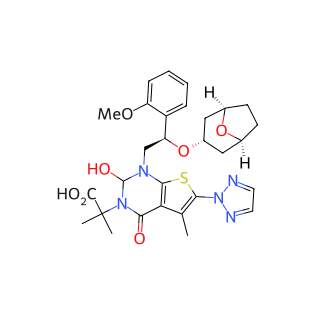 COc1ccccc1[C@H](CN1c2sc(-n3nccn3)c(C)c2C(=O)N(C(C)(C)C(=O)O)C1O)O[C@@H]1C[C@H]2CC[C@@H](C1)O2